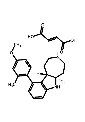 COc1ccc(-c2cccc3c2[C@@H]2CCNCC[C@H]2N3)c(C)c1.O=C(O)C=CC(=O)O